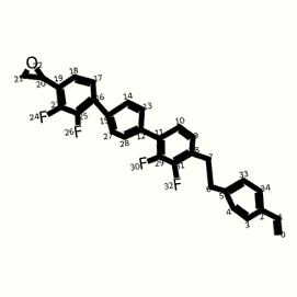 C=Cc1ccc(CCc2ccc(-c3ccc(-c4ccc(C5CO5)c(F)c4F)cc3)c(F)c2F)cc1